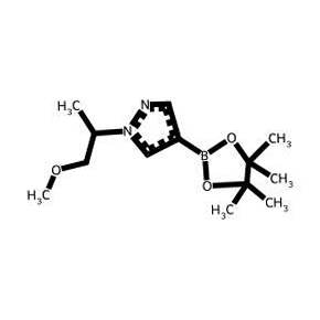 COCC(C)n1cc(B2OC(C)(C)C(C)(C)O2)cn1